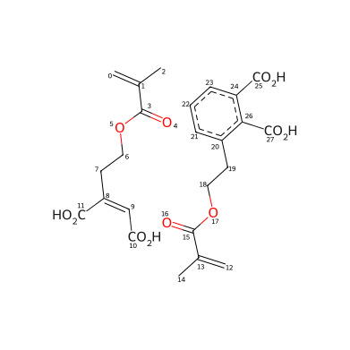 C=C(C)C(=O)OCC/C(=C/C(=O)O)C(=O)O.C=C(C)C(=O)OCCc1cccc(C(=O)O)c1C(=O)O